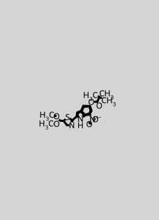 COC(OC)C1CN=C(c2cc3cc(OC(=O)C(C)(C)C)cc([N+](=O)[O-])c3[nH]2)S1